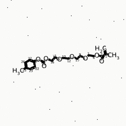 C=C(C)C(=O)OCCOCCOCCOCCOC(=O)Oc1ccc(C)cc1